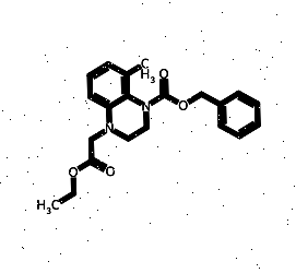 CCOC(=O)CN1CCN(C(=O)OCc2ccccc2)c2c(C)cccc21